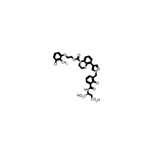 Cc1c(Cl)cccc1OCCOC(=O)N1CCSc2c(-c3cnn(Cc4cccc(C(=O)N[C@@H](CC(=O)O)C(=O)O)c4Cl)c3)cccc21